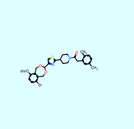 COc1ccc(Br)c2c1COC(c1csc(C3CCN(C(=O)Cc4cc(C)ccc4C)CC3)n1)OC2